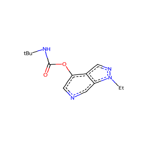 CCn1ncc2c(OC(=O)NC(C)(C)C)cncc21